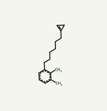 Cc1[c]ccc(CCCCCCC2=CC2)c1C